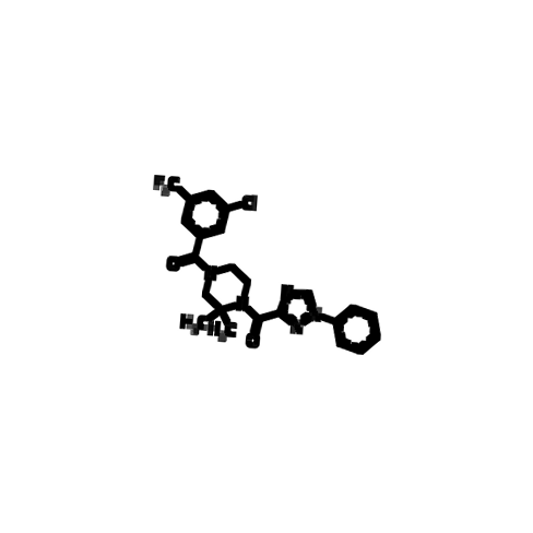 CC1(C)CN(C(=O)c2cc(Cl)cc(C(F)(F)F)c2)CCN1C(=O)c1ncn(-c2ccccc2)n1